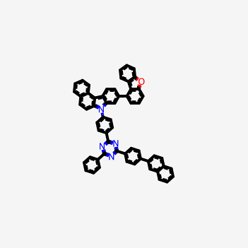 c1ccc(-c2nc(-c3ccc(-c4ccc5ccccc5c4)cc3)nc(-c3ccc(-n4c5cc(-c6cccc7oc8ccccc8c67)ccc5c5c6ccccc6ccc54)cc3)n2)cc1